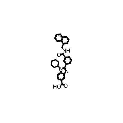 O=C(O)c1ccc2c(c1)nc(-c1cccc(C(=O)NCc3cccc4ccccc34)c1)n2C1CCCCC1